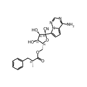 C[C@H](Cc1ccccc1)C(=O)OC[C@H]1O[C@@](C#N)(c2ccc3c(N)ncnn23)[C@H](O)[C@@H]1O